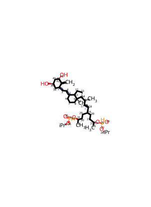 C=C1/C(=C\C=C2/CCC[C@@]3(C)C2CC[C@@H]3[C@H](C)/C=C/C(CCC(C)O[PH](=O)OC(C)C)CCC(C)O[PH](=O)OC(C)C)C[C@@H](O)C[C@@H]1O